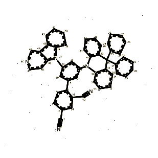 N#Cc1ccc(-c2cc(N3c4ccccc4C(c4ccccc4)(c4ccccc4)c4ccccc43)cc(-n3c4ccccc4c4cnccc43)c2)c(C#N)c1